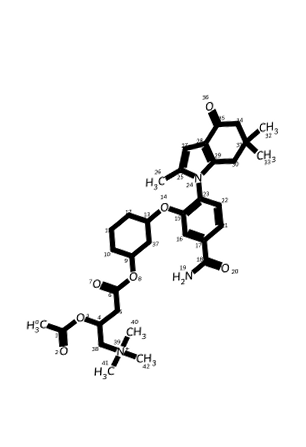 CC(=O)OC(CC(=O)OC1CCCC(Oc2cc(C(N)=O)ccc2-n2c(C)cc3c2CC(C)(C)CC3=O)C1)C[N+](C)(C)C